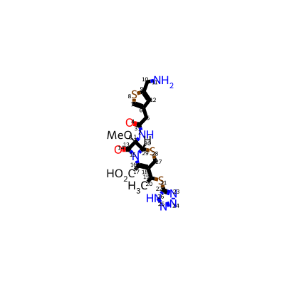 CO[C@@]1(NC(=O)Cc2csc(CN)c2)C(=O)N2C(C(=O)O)=C(C(C)Sc3nnn[nH]3)CS[C@H]21